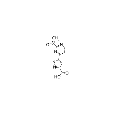 C[S+]([O-])c1nccc(-c2cc(C(=O)O)n[nH]2)n1